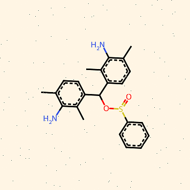 Cc1ccc(C(OS(=O)c2ccccc2)c2ccc(C)c(N)c2C)c(C)c1N